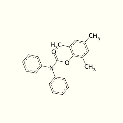 Cc1cc(C)c(OC(=O)N(c2ccccc2)c2ccccc2)c(C)c1